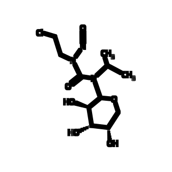 CC(C)N(C(=O)N(CCCl)N=O)C1OC[C@H](O)[C@H](O)[C@H]1O